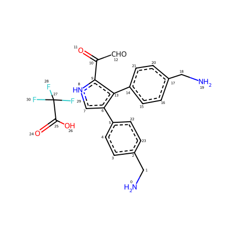 NCc1ccc(-c2c[nH]c(C(=O)C=O)c2-c2ccc(CN)cc2)cc1.O=C(O)C(F)(F)F